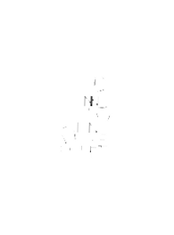 Cc1cc(NC[C@]2(C(F)(F)F)CC(C)(c3cccc4c3OCC4)O2)c2cnn(-c3ccccc3)c2c1